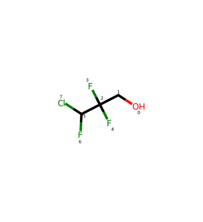 OCC(F)(F)C(F)Cl